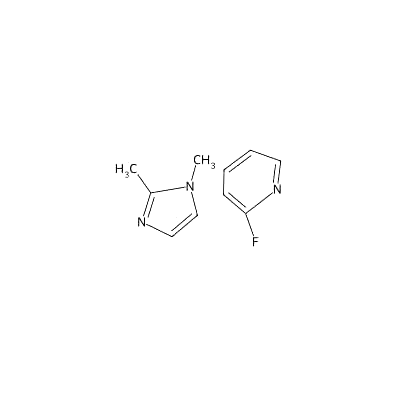 Cc1nccn1C.Fc1ccccn1